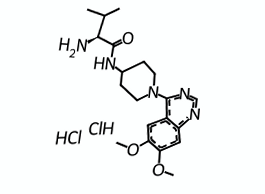 COc1cc2ncnc(N3CCC(NC(=O)[C@@H](N)C(C)C)CC3)c2cc1OC.Cl.Cl